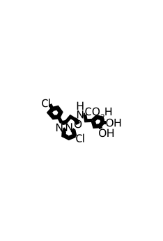 O=C(Cc1c(-c2ccc(Cl)cc2)nc2ccc(Cl)cn12)NC(Cc1ccc(O)c(O)c1)C(=O)O